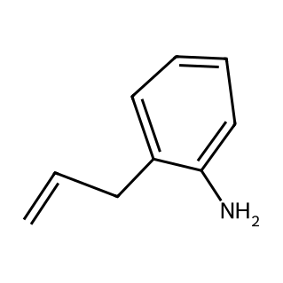 C=CCc1ccccc1N